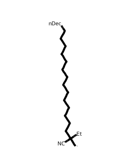 [CH2]C(C#N)(CC)CCCCCCCCCCCCCCCCCCCCCCCC